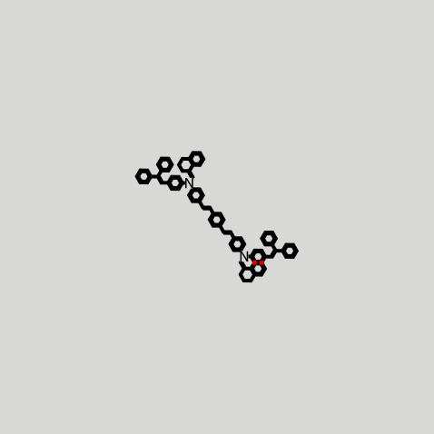 C(=C(c1ccccc1)c1ccccc1)c1ccc(N(/C=C2/CCCc3ccccc32)c2ccc(/C=C/c3ccc(/C=C/c4ccc(N(/C=C5\CCCc6ccccc65)c5ccc(C=C(c6ccccc6)c6ccccc6)cc5)cc4)cc3)cc2)cc1